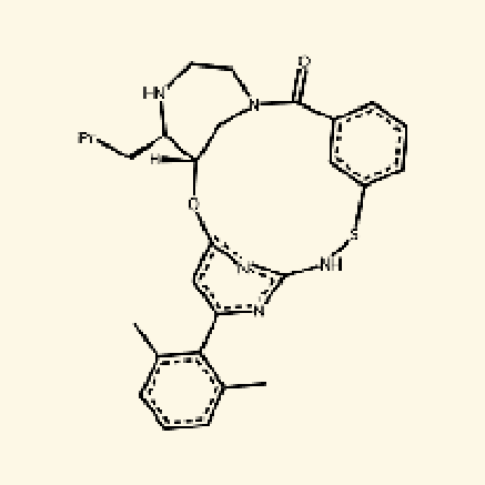 Cc1cccc(C)c1-c1cc2nc(n1)NSc1cccc(c1)C(=O)N1CCN[C@H](CC(C)C)[C@H](C1)O2